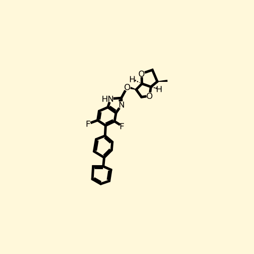 C[C@@H]1CO[C@H]2[C@@H]1OC[C@H]2Oc1nc2c(F)c(-c3ccc(-c4ccccc4)cc3)c(F)cc2[nH]1